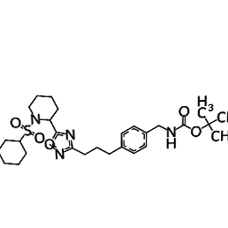 CC(C)(C)OC(=O)NCc1ccc(CCCc2noc(C3CCCCN3S(=O)(=O)C3CCCCC3)n2)cc1